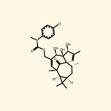 CC1=C[C@]23C(=O)[C@@H](C=C(COC(=O)N(C)c4ccc(Cl)cc4)[C@@H](O)[C@]2(O)[C@H]1O)[C@H]1[C@@H](C[C@H]3C)C1(C)C